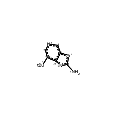 CC(C)(C)c1cncc2sc(N)nc12